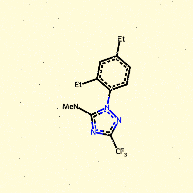 CCc1ccc(-n2nc(C(F)(F)F)nc2NC)c(CC)c1